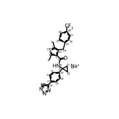 Cc1sc(C)c(C(=O)NC2(c3ccc(-c4nn[n-]n4)cc3)CC2)c1Cc1ccc(C(F)(F)F)cc1.[Na+]